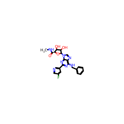 CNC(=O)[C@@H]1OC(n2cnc3c(NCc4ccccc4)nc(-c4cncc(F)c4)nc32)C(O)C1O